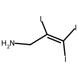 NCC(I)=C(I)I